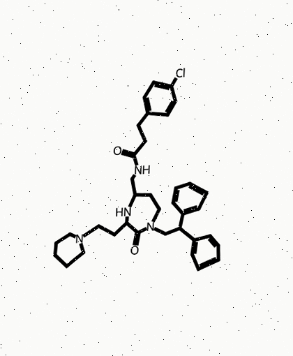 O=C(CCc1ccc(Cl)cc1)NCC1CCN(CC(c2ccccc2)c2ccccc2)C(=O)C(CCN2CCCCC2)N1